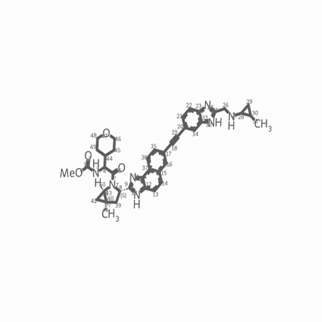 COC(=O)NC(C(=O)N1[C@H](c2nc3c(ccc4cc(C#Cc5ccc6nc(CNC7CC7C)[nH]c6c5)ccc43)[nH]2)C[C@@]2(C)C[C@@H]12)C1CCOCC1